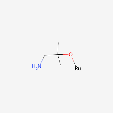 CC(C)(CN)[O][Ru]